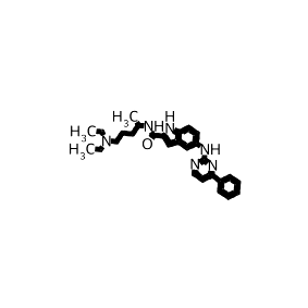 CCN(CC)CCCC(C)NC(=O)c1cc2cc(Nc3nccc(-c4ccccc4)n3)ccc2[nH]1